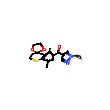 CCn1[c]c(C(=O)c2cc(C)c3c(c2C)C2(CCS3)OCCO2)cn1